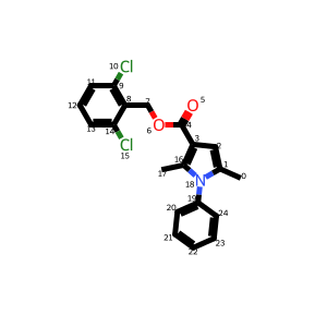 Cc1cc(C(=O)OCc2c(Cl)cccc2Cl)c(C)n1-c1ccccc1